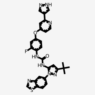 CC(C)(C)c1cc(NC(=O)Nc2ccc(Oc3ccnc(-c4cn[nH]c4)c3)cc2F)n(-c2ccc3scnc3c2)n1